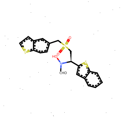 O=CN(O)[C@@H](CS(=O)(=O)Cc1ccc2sccc2c1)c1cc2ccccc2s1